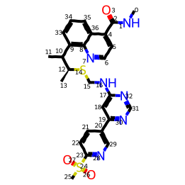 CNC(=O)c1ccnc2c(C(C)[C@H](C)SCNc3cc(-c4ccc(S(C)(=O)=O)nc4)ncn3)cccc12